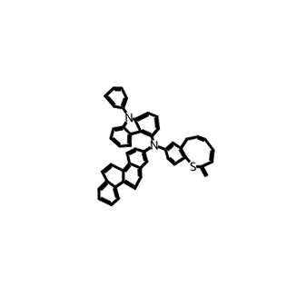 C=C1/C=C\C=C/Cc2cc(N(c3ccc4c(ccc5c6ccccc6ccc45)c3)c3cccc4c3c3ccccc3n4-c3ccccc3)ccc2S1